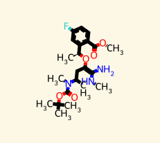 CN/C(N)=C(\CC(C)N(C)C(=O)OC(C)(C)C)O[C@H](C)c1cc(F)ccc1C(=O)OC